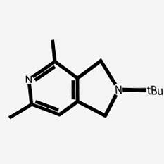 Cc1cc2c(c(C)n1)CN(C(C)(C)C)C2